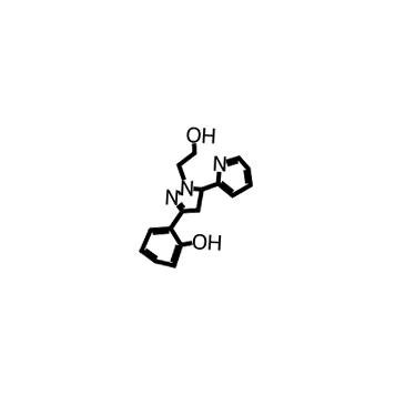 OCCN1N=C(c2ccccc2O)CC1c1ccccn1